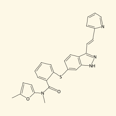 Cc1ccc(N(C)C(=O)c2ccccc2Sc2ccc3c(/C=C/c4ccccn4)n[nH]c3c2)o1